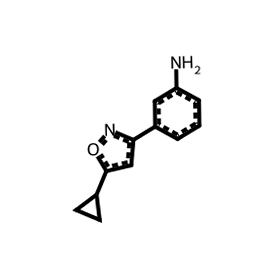 Nc1cccc(-c2cc(C3CC3)on2)c1